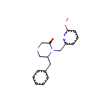 COc1cccc(CN2C(=O)CNCC2Cc2ccccc2)n1